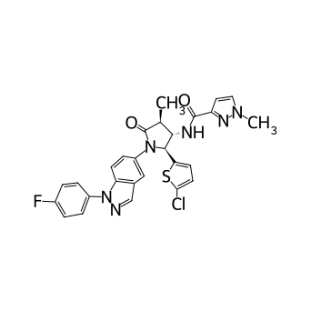 C[C@@H]1C(=O)N(c2ccc3c(cnn3-c3ccc(F)cc3)c2)[C@H](c2ccc(Cl)s2)[C@H]1NC(=O)c1ccn(C)n1